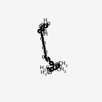 CNC(=O)N1N=C(c2ccc(N3CCN(C(=O)CCOCCOCCOCCOCCNc4cccc5c4C(=O)N(C4CCC(=O)NC4=O)C5=O)CC3)cc2)c2cc(OC)c(OC)cc2C[C@H]1C